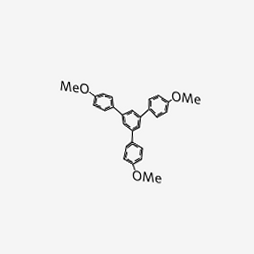 COc1ccc(-c2cc(-c3ccc(OC)cc3)cc(-c3ccc(OC)cc3)c2)cc1